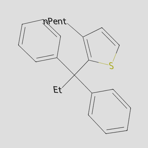 CCCCCc1ccsc1C(CC)(c1ccccc1)c1ccccc1